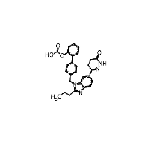 CCCc1nc2ccc(C3=NNC(=O)CC3)cc2n1Cc1ccc(-c2ccccc2OC(=O)O)cc1